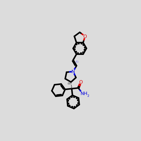 NC(=O)C(C1=CCCC=C1)(c1ccccc1)[C@@H]1CCN(/C=C/c2ccc3c(c2)CCO3)C1